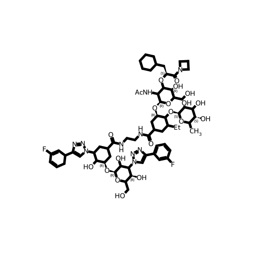 CCC1CC(C(=O)NCCNC(=O)C2CC(n3cc(C4C=C(F)C=CC4)nn3)C(O)[C@H](O[C@@H]3OC(CO)[C@H](O)C(n4cc(-c5cccc(F)c5)nn4)C3O)C2)C[C@@H](O[C@@H]2OC(CO)[C@H](O)C(O[C@@H](CC3CCCCC3)C(=O)N3CCC3)C2NC(C)=O)C1O[C@@H]1OC(C)[C@@H](O)C(O)C1O